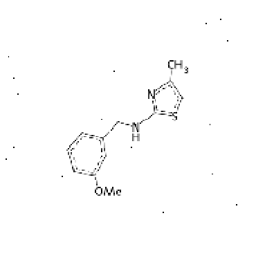 COc1cccc(CNc2nc(C)cs2)c1